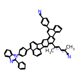 C/C(C#N)=C\C=C(/C)c1cc2c3ccccc3c(-c3ccc(C#N)cc3)cc2c2cc3c(cc12)-c1cccc2c(-c4ccc(-n5c(-c6ccccc6)nc6ccccc65)cc4)ccc-3c12